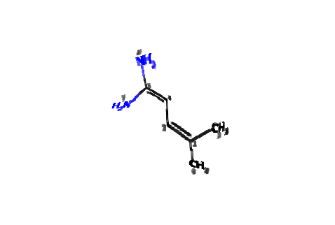 CC(C)=CC=C(N)N